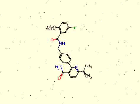 C=C(C)c1ccc(C(N)=O)c(-c2ccc(CNC(=O)c3cc(F)ccc3OC)cc2)n1